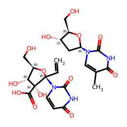 C=C[C@@]1(n2ccc(=O)[nH]c2=O)O[C@H](CO)[C@@H](O)[C@]1(O)C(=O)O.Cc1cn([C@H]2C[C@H](O)[C@@H](CO)O2)c(=O)[nH]c1=O